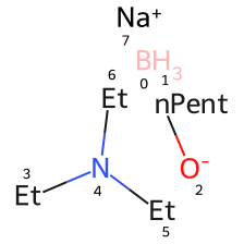 B.CCCCC[O-].CCN(CC)CC.[Na+]